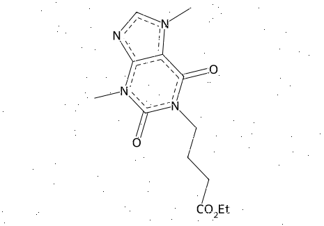 CCOC(=O)CCCn1c(=O)c2c(ncn2C)n(C)c1=O